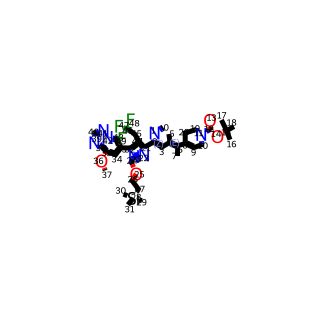 C=N/C(=C\C(C)=C(/C)C1=CCN(C(=O)OC(C)(C)C)CC1)c1nn(COCC[Si](C)(C)C)c(-c2cc(OC)c3ncnn3c2)c1CC(F)(F)F